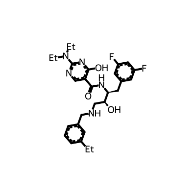 CCc1cccc(CNC[C@H](O)[C@H](Cc2cc(F)cc(F)c2)NC(=O)c2cnc(N(CC)CC)nc2O)c1